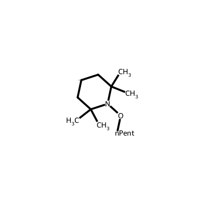 CCCCCON1C(C)(C)C[CH]CC1(C)C